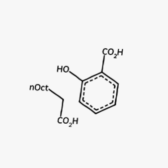 CCCCCCCCCC(=O)O.O=C(O)c1ccccc1O